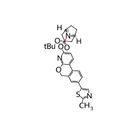 Cc1ncc(-c2ccc3c(c2)COc2nc(OC4C[C@H]5CC[C@@H](C4)N5C(=O)OC(C)(C)C)ccc2-3)s1